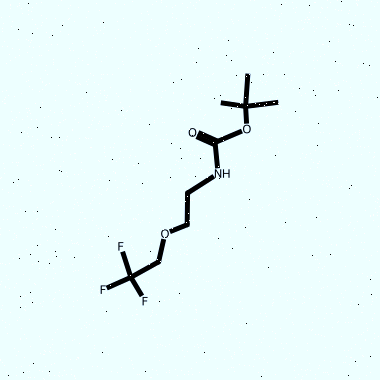 CC(C)(C)OC(=O)NCCOCC(F)(F)F